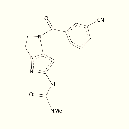 CNC(=O)Nc1cc2n(n1)CCN2C(=O)c1cccc(C#N)c1